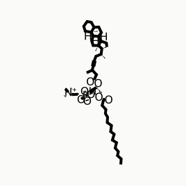 CCCCCCCCCCCCCCCC(=O)OC[C@H](COP(=O)(O)OCC[N+](C)(C)C)OC(=O)CC(C)C#CC[C@@H](C)[C@H]1CC[C@H]2[C@@H]3CCC4CCCC[C@]4(C)[C@H]3CC[C@]12C